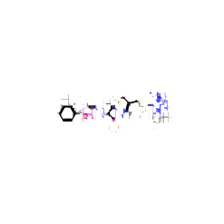 CC(=CN[C@@H]1C(=O)N2C(C(=O)O)=C(CSc3nnnn3C)CS[C@@H]12)[S+]([O-])c1ccccc1